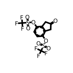 O=C1Cc2c(OS(=O)(=O)C(F)(F)F)ccc(OS(=O)(=O)C(F)(F)F)c2C1